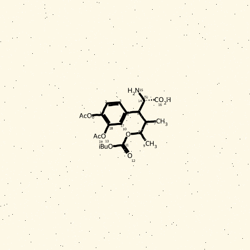 CC(=O)Oc1ccc(C(C(C)C(C)OC(=O)OCC(C)C)[C@H](N)C(=O)O)cc1OC(C)=O